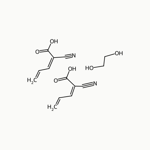 C=CC=C(C#N)C(=O)O.C=CC=C(C#N)C(=O)O.OCCO